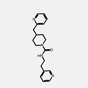 O=C(NCCc1cccnc1)N1CCC(Cc2ccccn2)CC1